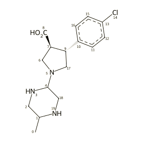 CC1CNC(N2C[C@@H](C(=O)O)[C@H](c3ccc(Cl)cc3)C2)CN1